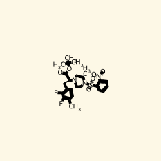 Cc1ccc(C[C@@H](C(=O)OC(C)(C)C)N2CCN(S(=O)(=O)c3ccccc3[N+](=O)[O-])[C@@H](C)C2)c(F)c1F